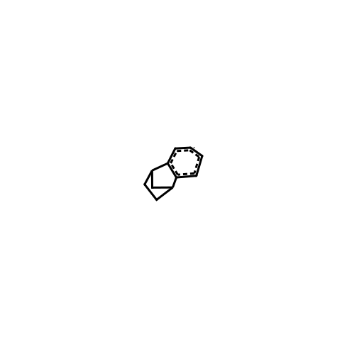 [c]1ccc2c(c1)C1CCC2C1